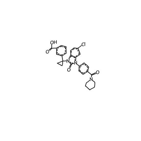 O=C(O)c1cccc(C2(n3c(=O)n(-c4ccc(C(=O)N5CCCCC5)cc4)c4cc(Cl)ccc43)CC2)c1